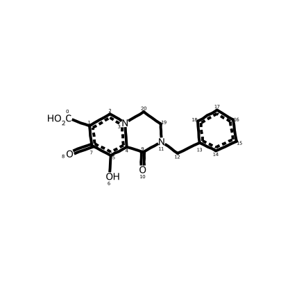 O=C(O)c1cn2c(c(O)c1=O)C(=O)N(Cc1ccccc1)CC2